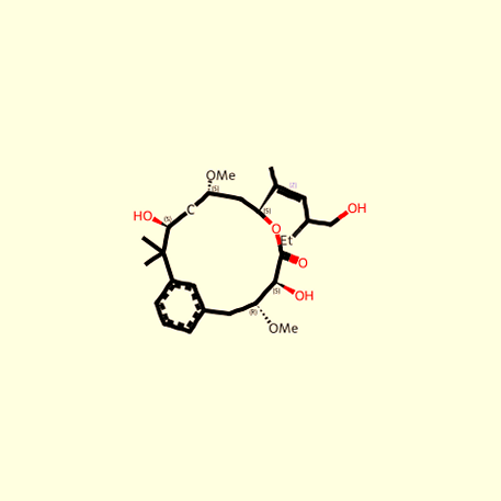 CCC(/C=C(/C)[C@@H]1C[C@@H](OC)C[C@H](O)C(C)(C)c2cccc(c2)C[C@@H](OC)[C@H](O)C(=O)O1)CO